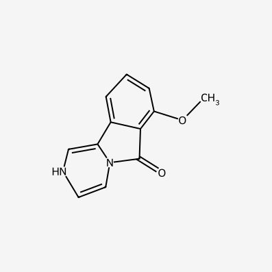 COc1cccc2c3c[nH]ccn-3c(=O)c12